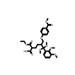 CCOC(=O)C(CCC(COc1ccc(C(=O)OC)cc1)C(OC)(OC)c1cccc(OC)c1OC)C(=O)O